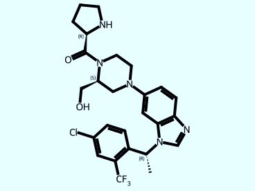 C[C@H](c1ccc(Cl)cc1C(F)(F)F)n1cnc2ccc(N3CCN(C(=O)[C@H]4CCCN4)[C@H](CO)C3)cc21